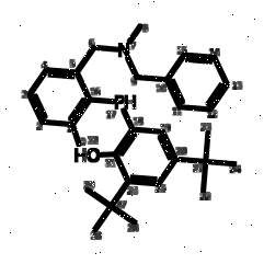 Cc1cccc(CN(C)Cc2ccccc2)c1Pc1cc(C(C)(C)C)cc(C(C)(C)C)c1O